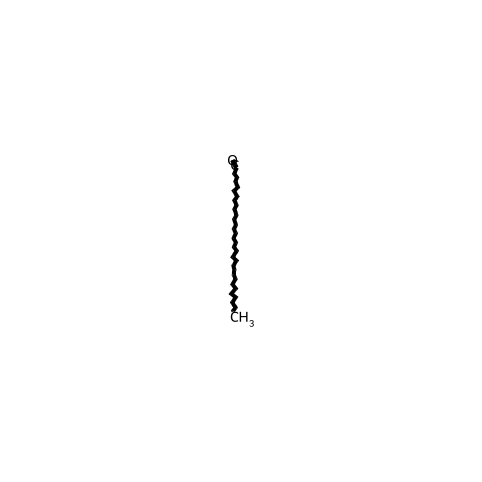 CCCCCCCCCCCCCCCCCCCCCCCCCCCCCCCCC=C=O